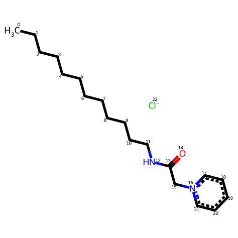 CCCCCCCCCCCCNC(=O)C[n+]1ccccc1.[Cl-]